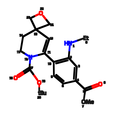 CCNc1cc(C(=O)OC)ccc1C1=CC2(CCN1C(=O)OC(C)(C)C)COC2